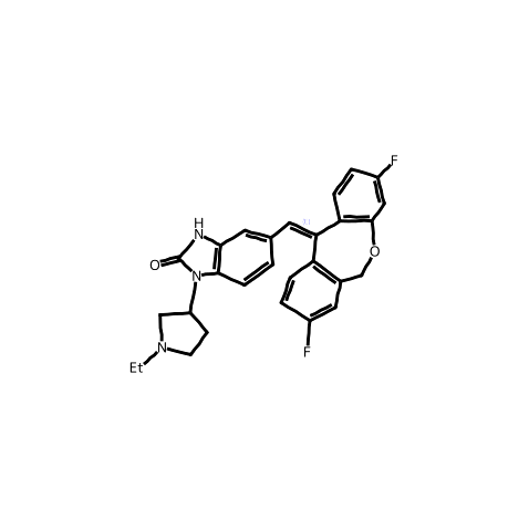 CCN1CCC(n2c(=O)[nH]c3cc(/C=C4\c5ccc(F)cc5COc5cc(F)ccc54)ccc32)C1